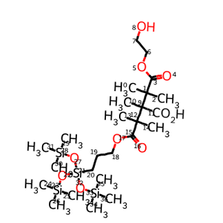 CC(C)(C(=O)OCCO)C(C)(C(=O)O)C(C)(C)C(=O)OCCC[Si](O[Si](C)(C)C)(O[Si](C)(C)C)O[Si](C)(C)C